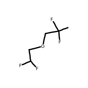 CC(F)(F)COCC(F)F